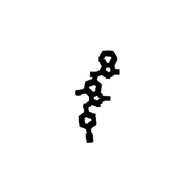 C#Cc1ccc(Oc2nn(C)c3cc(Nc4n[nH]c5cccnc45)cc(Cl)c23)nc1